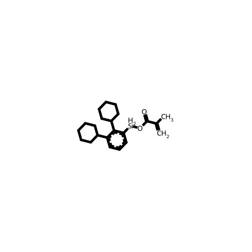 C=C(C)C(=O)O[SiH2]c1cccc(C2CCCCC2)c1C1CCCCC1